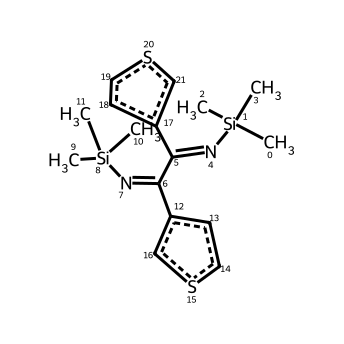 C[Si](C)(C)N=C(C(=N[Si](C)(C)C)c1ccsc1)c1ccsc1